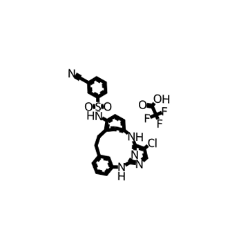 N#Cc1cccc(S(=O)(=O)Nc2ccc3cc2CCc2cccc(c2)Nc2ncc(Cl)c(n2)N3)c1.O=C(O)C(F)(F)F